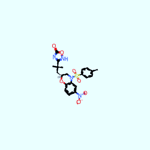 Cc1ccc(S(=O)(=O)N2C[C@H](CC(C)(C)c3nc(=O)o[nH]3)Oc3ccc([N+](=O)[O-])cc32)cc1